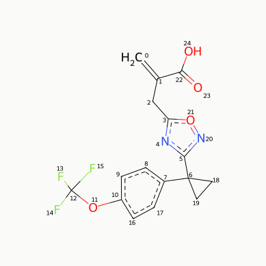 C=C(Cc1nc(C2(c3ccc(OC(F)(F)F)cc3)CC2)no1)C(=O)O